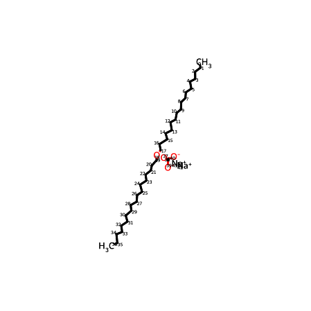 CCCCCCCCCCCCCCCCCCOCCCCCCCCCCCCCCCCCC.O=C([O-])[O-].[Na+].[Na+]